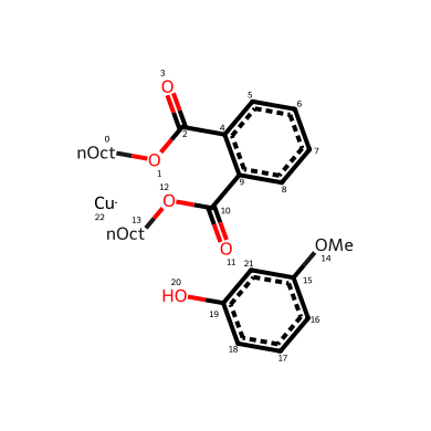 CCCCCCCCOC(=O)c1ccccc1C(=O)OCCCCCCCC.COc1cccc(O)c1.[Cu]